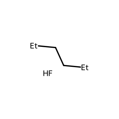 CCCCCC.F